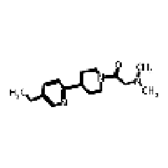 CCc1ccc(C2CCN(C(=O)CN(C)C)CC2)nc1